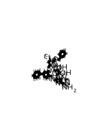 CCN(CCCOc1cc(-c2ccccc2)ccc1CNc1nc2c(N)ncnc2n1[C@@H]1O[C@H](CO)C(O)C1O)C(=O)OCc1ccccc1